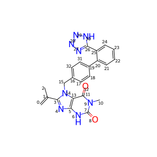 C=C(C)c1nc2[nH]c(=O)n(C)c(=O)c2n1Cc1ccc(-c2ccccc2-c2nnn[nH]2)cc1